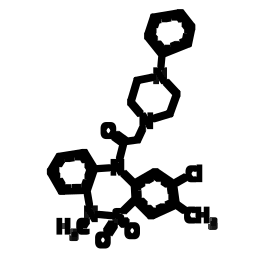 Cc1cc2c(cc1Cl)N(C(=O)CN1CCN(c3ccccc3)CC1)c1ccccc1N(C)S2(=O)=O